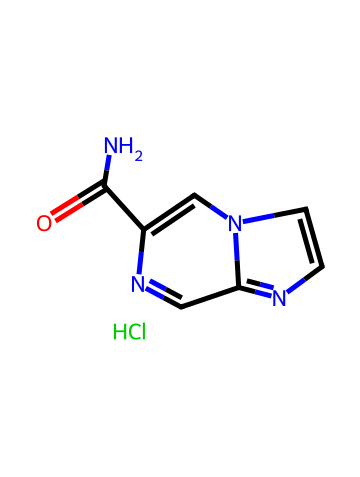 Cl.NC(=O)c1cn2ccnc2cn1